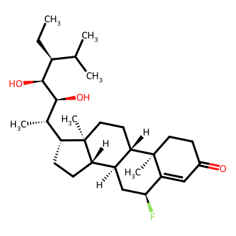 CC[C@@H](C(C)C)[C@H](O)[C@@H](O)[C@@H](C)[C@H]1CC[C@H]2[C@@H]3C[C@H](F)C4=CC(=O)CC[C@]4(C)[C@H]3CC[C@]12C